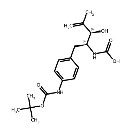 C=C(C)[C@@H](O)[C@H](Cc1ccc(NC(=O)OC(C)(C)C)cc1)NC(=O)O